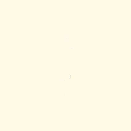 CS(=O)(=O)NC[C@H]1CC[C@H](Cn2c(=O)[nH]c3ccccc32)CC1